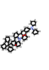 c1ccc(N(c2ccccc2)c2ccc3cc(-c4cccc(-c5cccc(C6(c7ccccc7)c7ccccc7-c7ccccc76)c5)c4N(c4ccccc4)c4ccccc4)ccc3c2)cc1